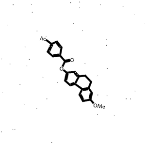 COc1ccc2c(c1)CCc1cc(OC(=O)c3ccc(C(C)=O)cc3)ccc1-2